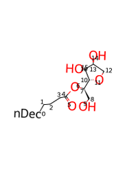 CCCCCCCCCCCCCC(=O)O[C@H](CO)[C@H]1OC[C@H](O)[C@H]1O